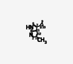 Cc1cnc2[nH]cc(C3CC3)c2c1